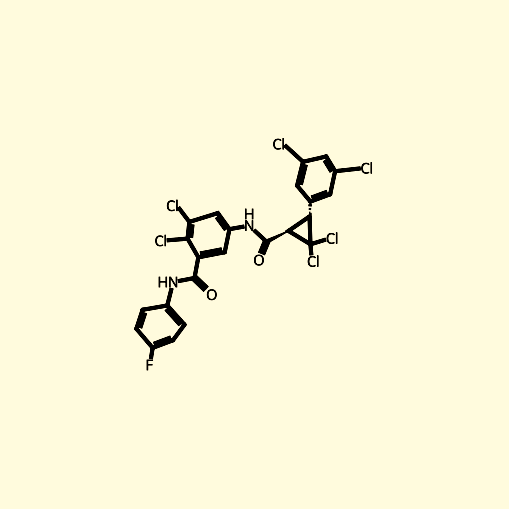 O=C(Nc1ccc(F)cc1)c1cc(NC(=O)[C@H]2[C@H](c3cc(Cl)cc(Cl)c3)C2(Cl)Cl)cc(Cl)c1Cl